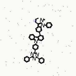 C=Nc1c(/C=C\C)c2ccc(-c3cccc4c3c3ccccc3n4-c3ccc(-c4nc(-c5ccccc5)nc(-c5ccccc5)n4)cc3)cc2n1-c1ccccc1